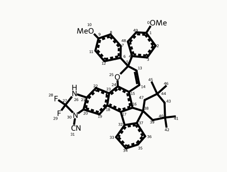 COc1ccc(C2(c3ccc(OC)cc3)C=Cc3c4c(c5cc6c(cc5c3O2)NC(F)(F)N6C#N)-c2ccccc2C42CC(C)(C)CC(C)(C)C2)cc1